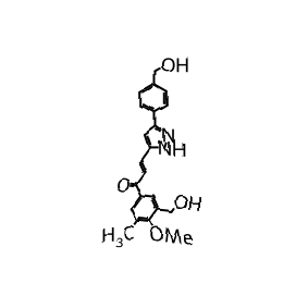 COc1c(C)cc(C(=O)/C=C/c2cc(-c3ccc(CO)cc3)n[nH]2)cc1CO